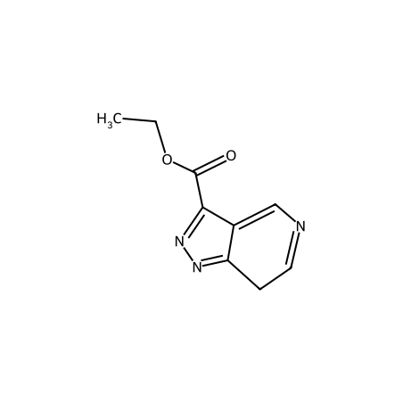 CCOC(=O)C1=NN=C2CC=NC=C21